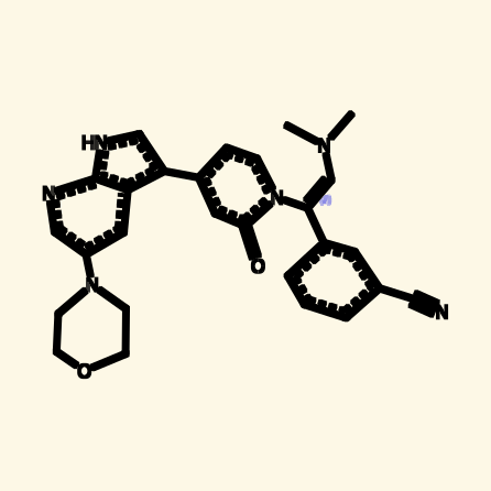 CN(C)/C=C(/c1cccc(C#N)c1)n1ccc(-c2c[nH]c3ncc(N4CCOCC4)cc23)cc1=O